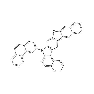 c1ccc2cc3c(cc2c1)oc1cc2c(cc13)c1c3ccccc3ccc1n2-c1ccc2ccc3ccccc3c2c1